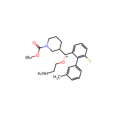 CC(=O)NCCO[C@@H](c1cccc(F)c1-c1cccc(C)c1)C1CCCN(C(=O)OC(C)(C)C)C1